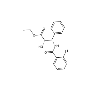 CCOC(=O)[C@@H](O)[C@@H](NC(=O)c1ccccc1Cl)c1ccccc1